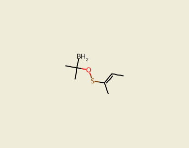 BC(C)(C)OSC(C)=CC